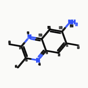 Cc1cc2nc(C)c(C)nc2cc1N